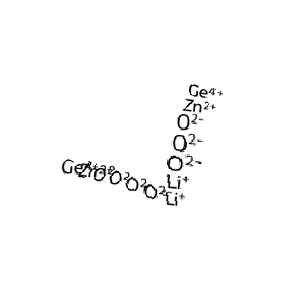 [Ge+4].[Ge+4].[Li+].[Li+].[O-2].[O-2].[O-2].[O-2].[O-2].[O-2].[O-2].[Zn+2].[Zn+2]